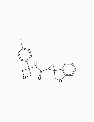 O=C(NC1(c2ccc(F)cc2)COC1)C1CC12COc1ccccc12